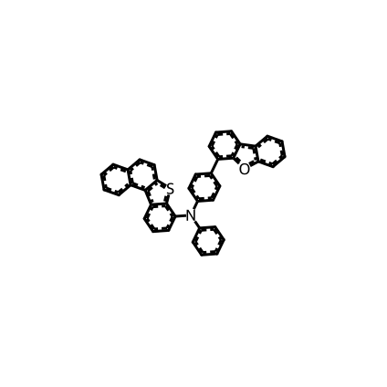 c1ccc(N(c2ccc(-c3cccc4c3oc3ccccc34)cc2)c2cccc3c2sc2ccc4ccccc4c23)cc1